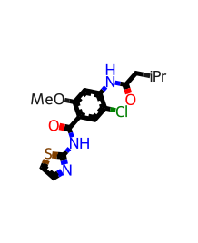 COc1cc(NC(=O)CC(C)C)c(Cl)cc1C(=O)Nc1nccs1